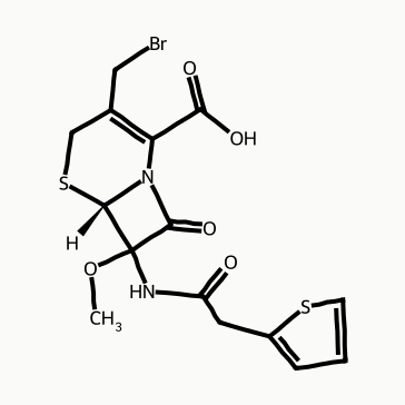 COC1(NC(=O)Cc2cccs2)C(=O)N2C(C(=O)O)=C(CBr)CS[C@H]21